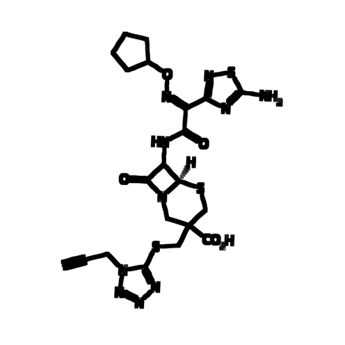 C#CCn1nnnc1SCC1(C(=O)O)CS[C@@H]2C(NC(=O)C(=NOC3CCCC3)c3nsc(N)n3)C(=O)N2C1